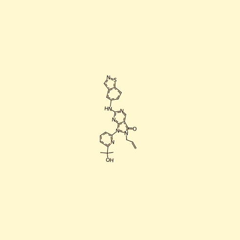 C=CCn1c(=O)c2cnc(Nc3ccc4sncc4c3)nc2n1-c1cccc(C(C)(C)O)n1